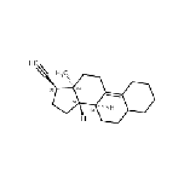 C#C[C@@H]1CC[C@H]2[C@@H]3CCC4CCCCC4=C3CC[C@]12C